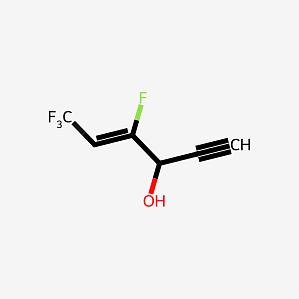 C#CC(O)/C(F)=C/C(F)(F)F